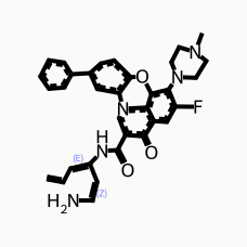 C=C/C=C(\C=C/N)NC(=O)c1cn2c3c(c(N4CCN(C)CC4)c(F)cc3c1=O)Oc1ccc(-c3ccccc3)cc1-2